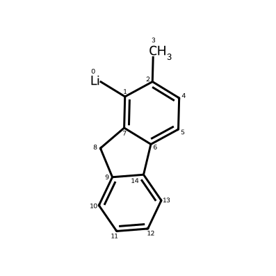 [Li][c]1c(C)ccc2c1Cc1ccccc1-2